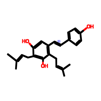 CC(C)=CCc1c(O)cc(/C=C/c2ccc(O)cc2)c(CC=C(C)C)c1O